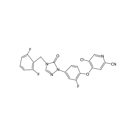 N#Cc1cc(Oc2ccc(-n3ncn(Cc4c(F)cccc4F)c3=O)cc2F)c(Cl)cn1